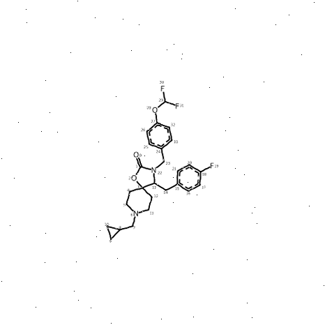 O=C1OC2(CCN(CC3CC3)CC2)C(Cc2ccc(F)cc2)N1Cc1ccc(OC(F)F)cc1